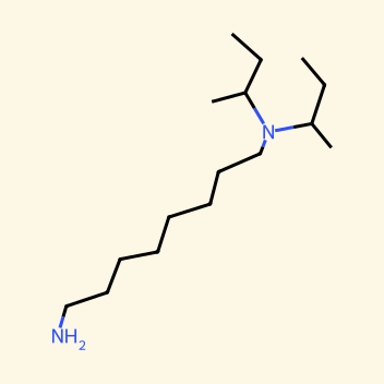 CCC(C)N(CCCCCCCCN)C(C)CC